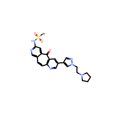 CC(C)S(=O)(=O)Nc1cc2c(=O)c3cc(-c4cnn(CCN5CCCC5)c4)cnc3ccc2cn1